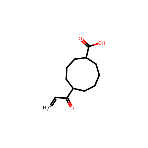 C=CC(=O)C1CCCCC(C(=O)O)CCC1